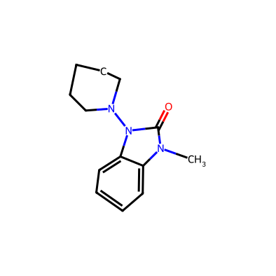 Cn1c(=O)n(N2CCCCC2)c2ccccc21